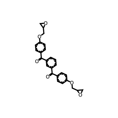 O=C(c1ccc(OCC2CO2)cc1)c1cccc(C(=O)c2ccc(OCC3CO3)cc2)c1